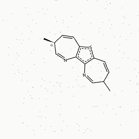 CC1C=Cc2sc3c(c2N=C1)N=C[C@@H](C)C=C3